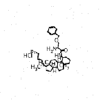 CC(C)CCC[C@@H](C)[C@H]1CC[C@H]2[C@@H]3CCC4CCCC(NC(=O)[C@@H](N)COCc5ccccc5)[C@]4(C)[C@H]3CC[C@]12C.Cl